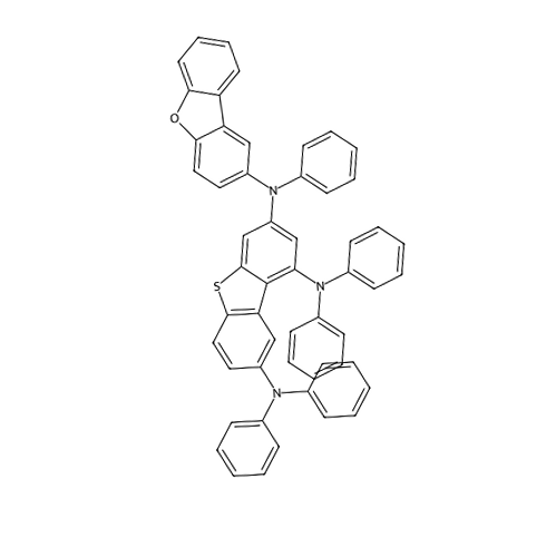 c1ccc(N(c2cc(N(c3ccccc3)c3ccccc3)c3c(c2)sc2ccc(N(c4ccccc4)c4ccccc4)cc23)c2ccc3oc4ccccc4c3c2)cc1